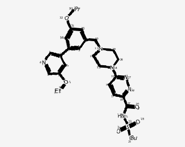 CCOc1cncc(-c2cc(CN3CCN(c4ccc(C(=O)NS(=O)(=O)C(C)(C)C)nn4)CC3)cc(OC(C)C)c2)c1